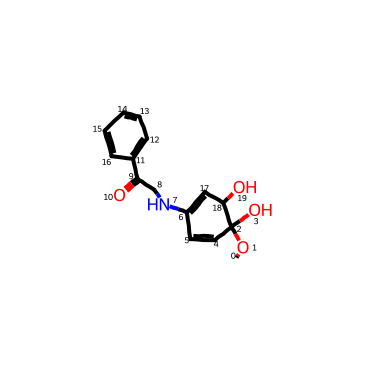 COC1(O)C=CC(NCC(=O)c2ccccc2)=CC1O